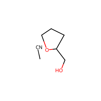 CC#N.OCC1CCCO1